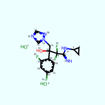 Cl.Cl.N=C(NC1CC1)C(F)(F)C(O)(Cn1cncn1)c1ccc(F)cc1F